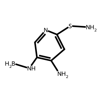 BNc1cnc(SN)cc1N